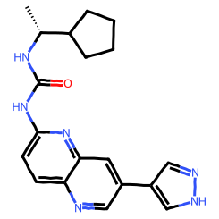 C[C@@H](NC(=O)Nc1ccc2ncc(-c3cn[nH]c3)cc2n1)C1CCCC1